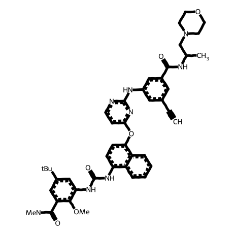 C#Cc1cc(Nc2nccc(Oc3ccc(NC(=O)Nc4cc(C(C)(C)C)cc(C(=O)NC)c4OC)c4ccccc34)n2)cc(C(=O)NC(C)CN2CCOCC2)c1